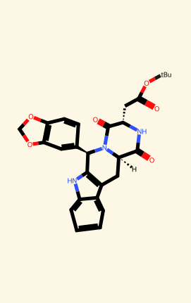 CC(C)(C)OC(=O)C[C@@H]1NC(=O)[C@H]2Cc3c([nH]c4ccccc34)[C@@H](c3ccc4c(c3)OCO4)N2C1=O